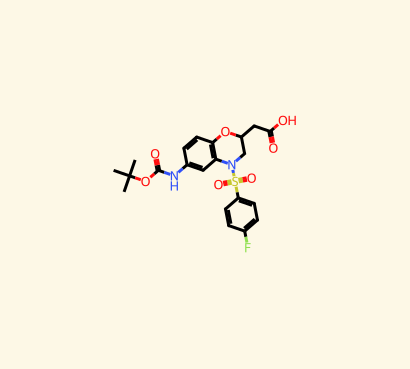 CC(C)(C)OC(=O)Nc1ccc2c(c1)N(S(=O)(=O)c1ccc(F)cc1)CC(CC(=O)O)O2